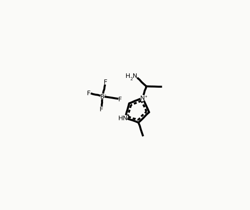 Cc1c[n+](C(C)N)c[nH]1.F[B-](F)(F)F